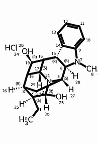 CC[C@H]1[C@@H]2C[C@H]3[C@@H]4N(C)c5ccccc5[C@]45C[C@@H](C2[C@H]5O)N3[C@@H]1O.Cl